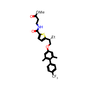 CC[C@H](COc1cc(C)c(-c2ccc(C(F)(F)F)cc2)c(C)c1)c1ccc(C(=O)NCCC(=O)OC)s1